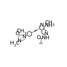 CNc1ncc(C#Cc2ccc(N3CCN(C)CC(OC)C3)cc2)c2cc(NC(=O)C3CC3)ncc12